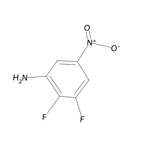 Nc1cc([N+](=O)[O-])cc(F)c1F